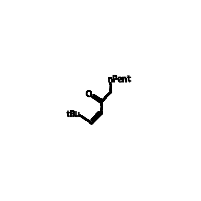 CCCCCCC(=O)/C=C\C(C)(C)C